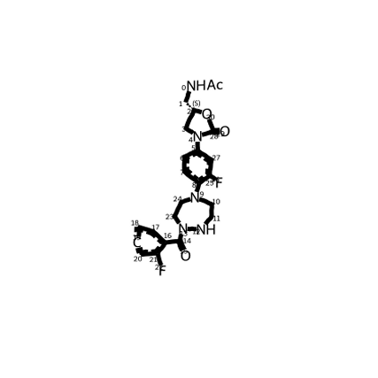 CC(=O)NC[C@H]1CN(c2ccc(N3CCNN(C(=O)c4ccccc4F)CC3)c(F)c2)C(=O)O1